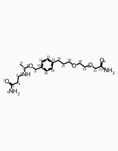 C[C@H](NCCC(N)=O)OCc1ccc(CCCOCCOCC(N)=O)cc1